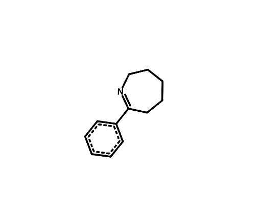 c1ccc(C2=NCCCCC2)cc1